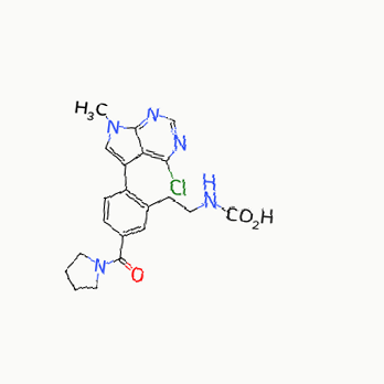 Cn1cc(-c2ccc(C(=O)N3CCCC3)cc2CCNC(=O)O)c2c(Cl)ncnc21